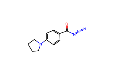 [N-]=[N+]=NC(=O)c1ccc(N2CCCC2)cc1